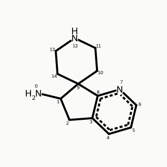 NC1Cc2cccnc2C12CCNCC2